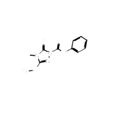 CC(C)Oc1nn(C(=O)Oc2ccccc2)c(=O)n1C